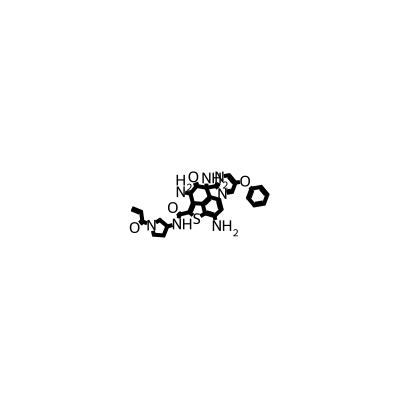 C=CC(=O)N1CCC(NC(=O)c2sc3c(N)ccc4c3c2C(N)C(=O)C4(N)c2ncc(Oc3ccccc3)cn2)C1